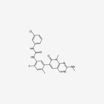 CNc1ncc2cc(-c3cc(NC(=O)Nc4cccc(Cl)c4)c(F)cc3C)c(=O)n(C)c2n1